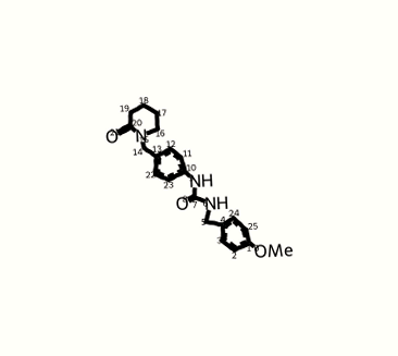 COc1ccc(CNC(=O)Nc2ccc(CN3CCCCC3=O)cc2)cc1